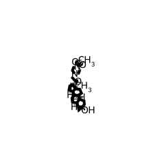 C[C@]12CC[C@@H]3[C@H]4CC[C@]5(O)CC5[C@H]4CC[C@H]3[C@@H]1CC[C@@H]2C(=O)CN1CCN(S(C)(=O)=O)CC1